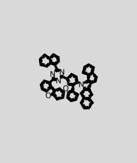 c1ccc2cc3c(cc2c1)c1ccc2ccccc2c1n3-c1ccc(-c2nc(-c3cccc4ccccc34)nc(-c3cccc4oc5ccccc5c34)n2)c2oc3ccccc3c12